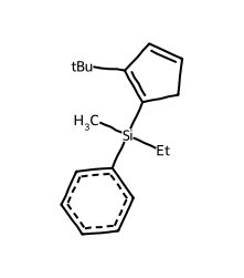 CC[Si](C)(C1=C(C(C)(C)C)C=CC1)c1ccccc1